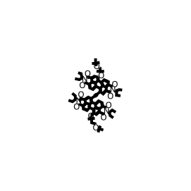 CCC(CC)N1C(=O)c2ccc3c4c(OC(C)(C)CCOC(C)(C)C)cc5c6c(ccc(c7c(C#Cc8cc9c%10c(ccc%11c%12c(OC(C)(C)COC(C)(C)C)cc%13c%14c(ccc(c8c%10%11)c%14%12)C(=O)N(C(CC)CC)C%13=O)C(=O)N(C(CC)CC)C9=O)cc(c2c37)C1=O)c64)C(=O)N(C(CC)CC)C5=O